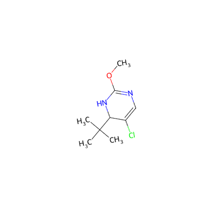 COC1=NC=C(Cl)C(C(C)(C)C)N1